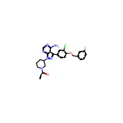 C=CC(=O)N1CCCC(n2nc(-c3ccc(OCc4cccc(F)c4)c(Cl)c3)c3c(N)ncnc32)C1